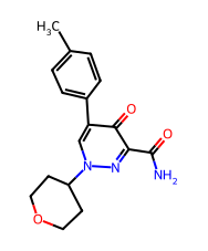 Cc1ccc(-c2cn(C3CCOCC3)nc(C(N)=O)c2=O)cc1